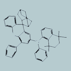 CC1(C)CCC(C)(C)c2c(N(c3ccccc3)c3cc(-c4ccccc4)c4c(c3)C3(c5ccccc5S4)C4CC5CC(C4)C3C5)cccc21